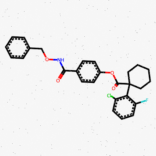 O=C(NOCc1ccccc1)c1ccc(OC(=O)C2(c3c(F)cccc3Cl)CCCCC2)cc1